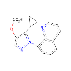 O=C(O)Oc1cnn(-c2cccc3cccnc23)c1C1CC1